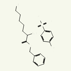 CCCCCCC(N)C(=O)OCc1ccccc1.Cc1ccc(S(=O)(=O)O)cc1